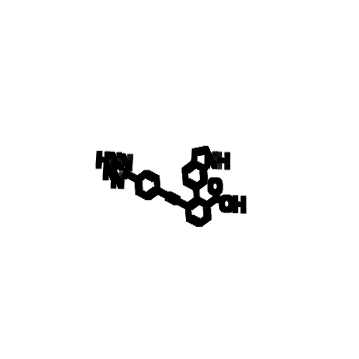 O=C(O)c1cccc(C#Cc2ccc(-c3nn[nH]n3)cc2)c1-c1ccc2cc[nH]c2c1